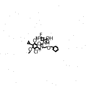 CCOc1cc([C@@H](C)N(CCOCc2ccccc2)C(=O)NC2(C(=O)O)CC(F)(F)C2)c(Cl)c(OCC)c1C1CC1